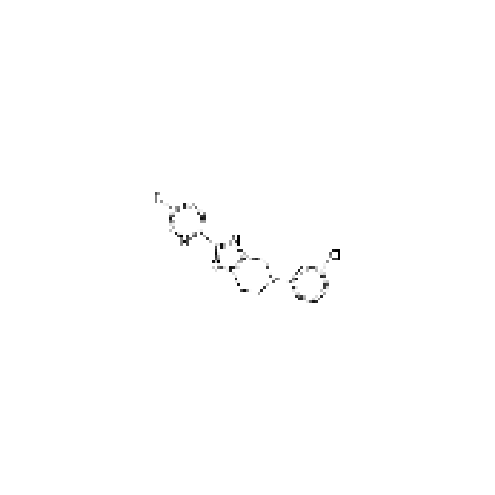 Fc1ccc(-c2nc3c(o2)CCN(c2cccc(Cl)c2)C3)nc1